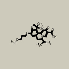 COCCCOc1cc2c(c3c1OCC3(C)C)-c1cc(=O)c(C(=O)O)cn1C(C(C)C)C2